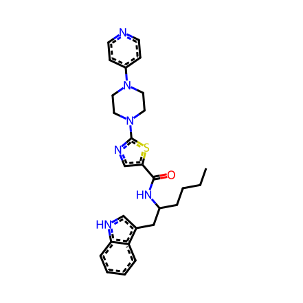 CCCCC(Cc1c[nH]c2ccccc12)NC(=O)c1cnc(N2CCN(c3ccncc3)CC2)s1